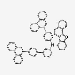 c1cc(-c2ccc(-c3cc4ccccc4c4ccccc34)cc2)cc(N(c2ccc(-c3cc4ccccc4c4ccccc34)cc2)c2cccc3oc4c5ccccc5ccc4c23)c1